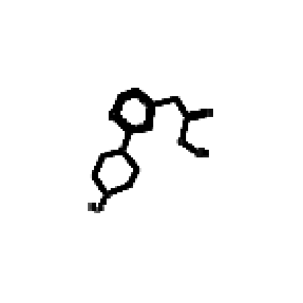 CN1CCN(c2cc(CC(=O)OC(C)(C)C)ccn2)CC1